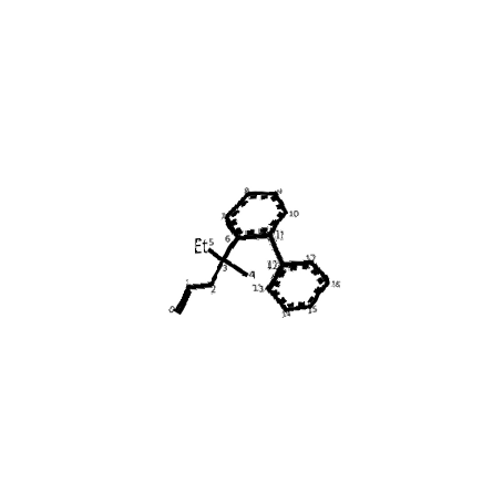 C=CCC(C)(CC)c1ccccc1-c1ccccc1